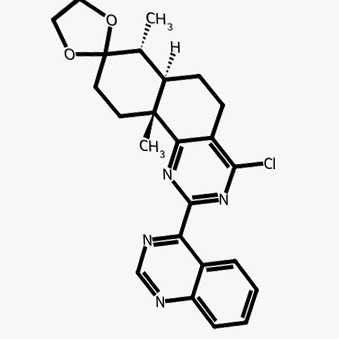 C[C@@H]1[C@H]2CCc3c(Cl)nc(-c4ncnc5ccccc45)nc3[C@]2(C)CCC12OCCO2